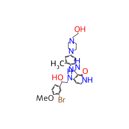 COc1ccc([C@H](O)CNc2cc[nH]c(=O)c2-c2nc3c(C)cc(N4CCN(CCO)CC4)cc3[nH]2)cc1Br